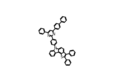 c1ccc(-c2ccc(-c3cc(-c4ccccc4)nc(-c4ccc(-n5c6ccccc6c6c7sc(-c8ccccc8)c(-c8ccccc8)c7ccc65)cc4)n3)cc2)cc1